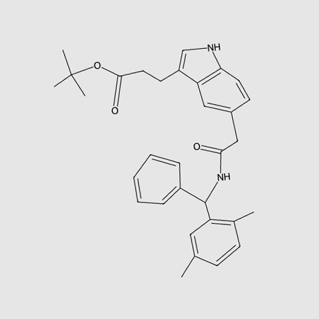 Cc1ccc(C)c(C(NC(=O)Cc2ccc3[nH]cc(CCC(=O)OC(C)(C)C)c3c2)c2ccccc2)c1